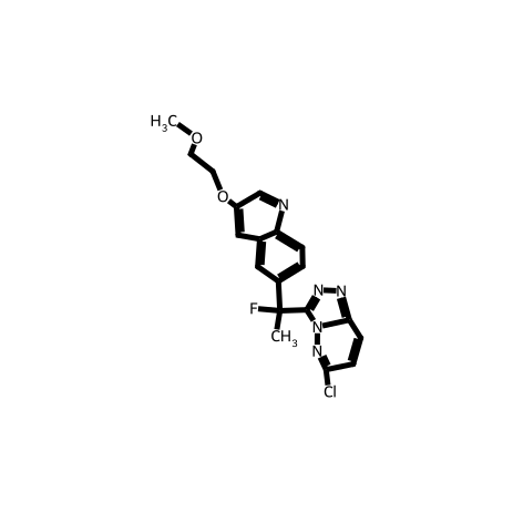 COCCOc1cnc2ccc(C(C)(F)c3nnc4ccc(Cl)nn34)cc2c1